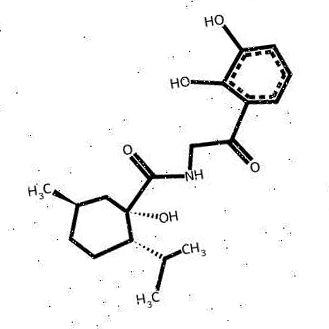 CC(C)[C@@H]1CC[C@@H](C)C[C@@]1(O)C(=O)NCC(=O)c1cccc(O)c1O